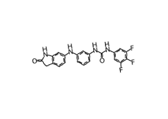 O=C1Cc2ccc(Nc3cccc(NC(=O)Nc4cc(F)c(F)c(F)c4)c3)cc2N1